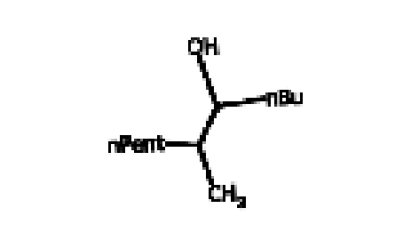 CCCCCC(C)C(O)CCCC